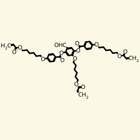 C=CC(=O)OCCCCCCOc1ccc(C(=O)Oc2cc(OCCCCCCOC(=O)C=C)c(OC(=O)c3ccc(OCCCCCCOC(=O)C=C)cc3)cc2C=O)cc1